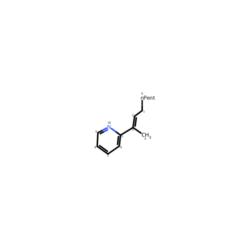 CCCCCCC=C(C)c1ccccn1